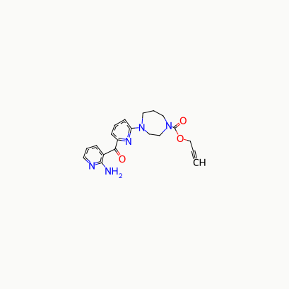 C#CCOC(=O)N1CCCN(c2cccc(C(=O)c3cccnc3N)n2)CC1